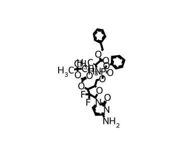 C[C@H](N[P@](=O)(OCC1OC(n2ccc(N)nc2=O)C(F)(F)C1OC(=O)OC(C)(C)C)Oc1ccccc1)C(=O)OCc1ccccc1